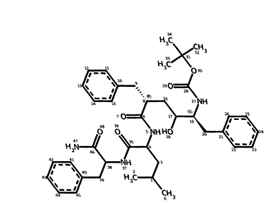 CC(C)CC(NC(=O)[C@H](Cc1ccccc1)CC(O)[C@H](Cc1ccccc1)NC(=O)OC(C)(C)C)C(=O)NC(Cc1ccccc1)C(N)=O